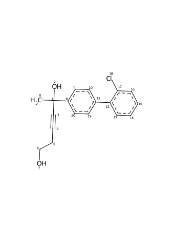 CC(O)(C#CCCO)c1ccc(-c2ccccc2Cl)cc1